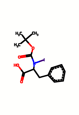 CC(C)(C)OC(=O)N(I)C(Cc1ccccc1)C(=O)O